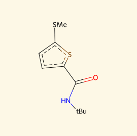 CSc1ccc(C(=O)NC(C)(C)C)s1